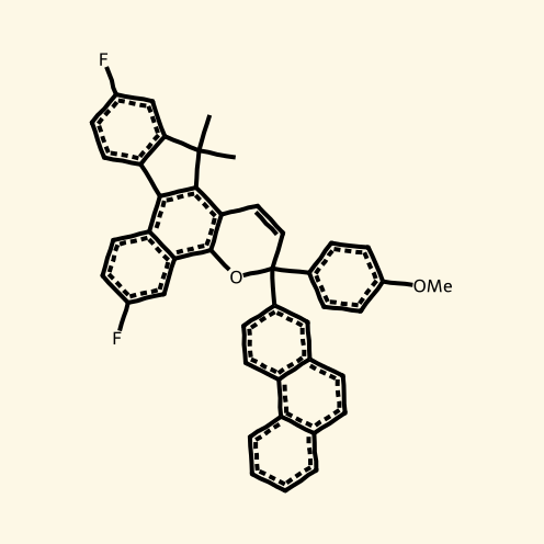 COc1ccc(C2(c3ccc4c(ccc5ccccc54)c3)C=Cc3c4c(c5ccc(F)cc5c3O2)-c2ccc(F)cc2C4(C)C)cc1